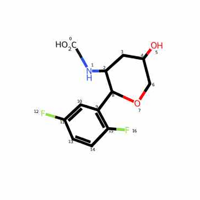 O=C(O)NC1CC(O)COC1c1cc(F)ccc1F